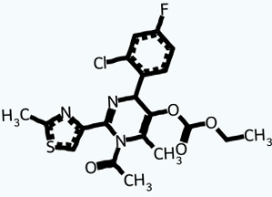 CCOC(=O)OC1=C(C)N(C(C)=O)C(c2csc(C)n2)=NC1c1ccc(F)cc1Cl